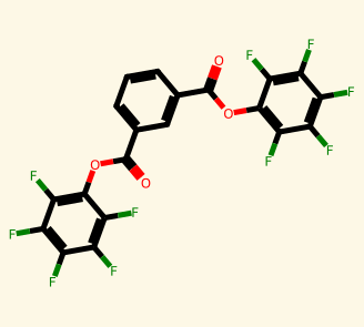 O=C(Oc1c(F)c(F)c(F)c(F)c1F)c1cccc(C(=O)Oc2c(F)c(F)c(F)c(F)c2F)c1